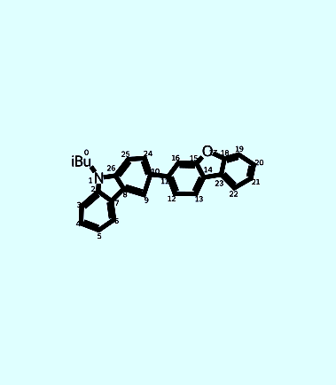 CCC(C)n1c2ccccc2c2cc(-c3ccc4c(c3)oc3ccccc34)ccc21